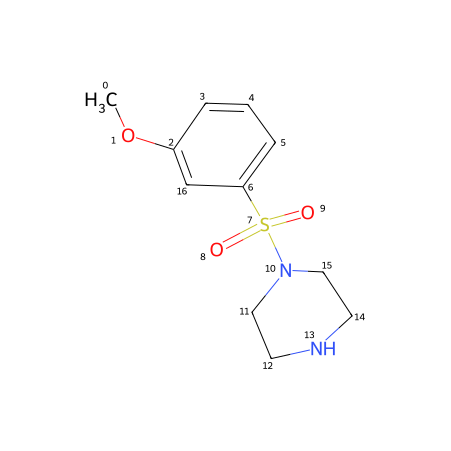 COc1cccc(S(=O)(=O)N2CCNCC2)c1